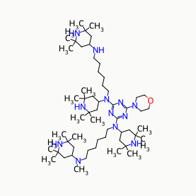 CN(CCCCCCN(c1nc(N2CCOCC2)nc(N(CCCCCCNC2CC(C)(C)NC(C)(C)C2)C2CC(C)(C)NC(C)(C)C2)n1)C1CC(C)(C)NC(C)(C)C1)C1CC(C)(C)NC(C)(C)C1